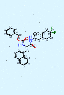 O=C(N[C@@H](Cc1cccc2ccccc12)C(=O)N[C@@H](CC1CCC(F)(F)CC1)C(=O)O)OCc1ccccc1